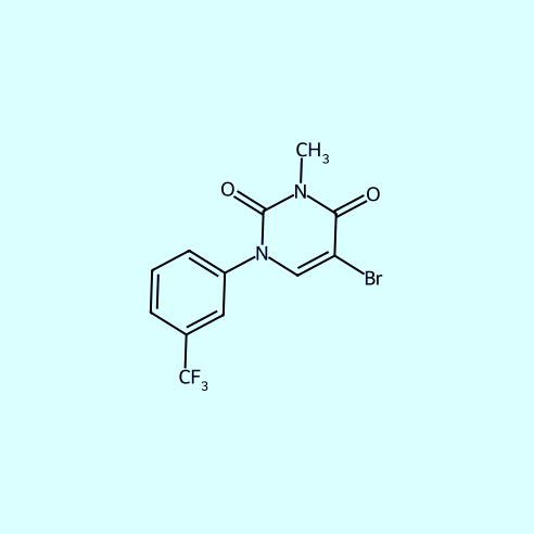 Cn1c(=O)c(Br)cn(-c2cccc(C(F)(F)F)c2)c1=O